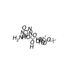 COc1nc(N)nc2c1ncn2[C@@H]1O[C@H](CO[P@](C)(=O)N[C@@H](C)C(=O)OCC(C)(C)C)[C@@H](O)[C@@]1(C)O